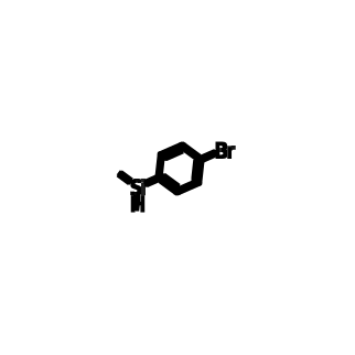 C[SiH](C)c1ccc(Br)cc1